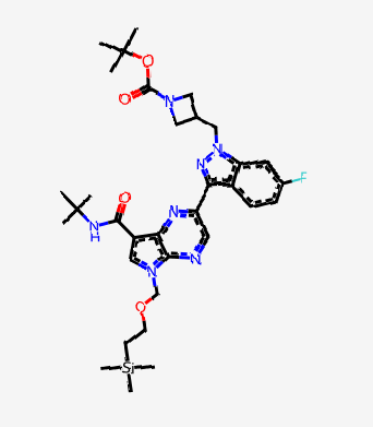 CC(C)(C)NC(=O)c1cn(COCC[Si](C)(C)C)c2ncc(-c3nn(CC4CN(C(=O)OC(C)(C)C)C4)c4cc(F)ccc34)nc12